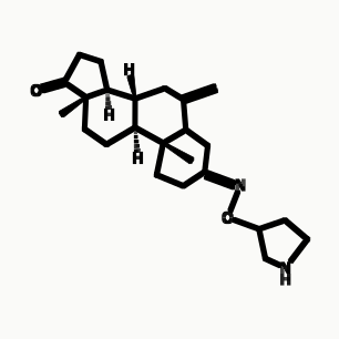 C=C1C[C@@H]2[C@H](CC[C@]3(C)C(=O)CC[C@@H]23)[C@@]2(C)CC/C(=N\OC3CCNC3)CC12